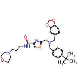 CC(C)(C)c1ccc(CN(Cc2ccc3c(c2)OCO3)Cc2nc(C(=O)NCCCN3CCOCC3)cs2)cc1